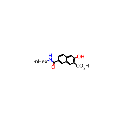 [CH2]CCCC[CH]NC(=O)c1ccc2cc(O)c(C(=O)O)cc2c1